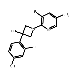 Cc1cnc(N2CC(O)(c3ccc(O)cc3Cl)C2)c(F)c1